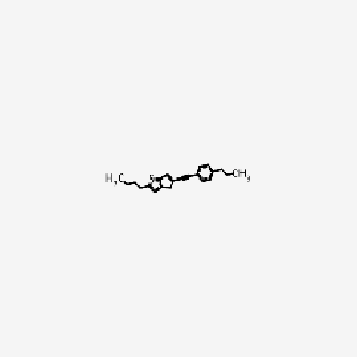 CCCCc1cc2c(s1)C=C(C#Cc1ccc(CCC)cc1)C2